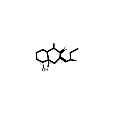 CCC(C)/C=C1/C[C@@]2(C)C(CCC[C@@H]2O)C(C)C1=O